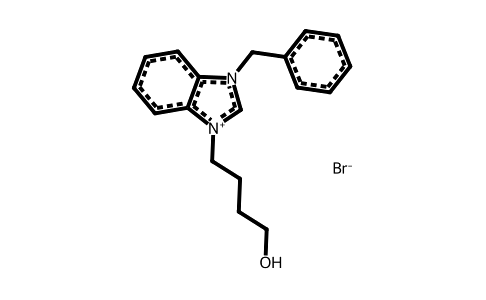 OCCCC[n+]1cn(Cc2ccccc2)c2ccccc21.[Br-]